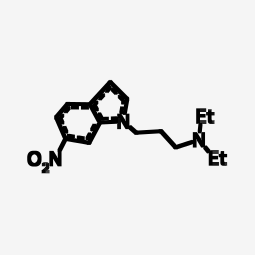 CCN(CC)CCCn1ccc2ccc([N+](=O)[O-])cc21